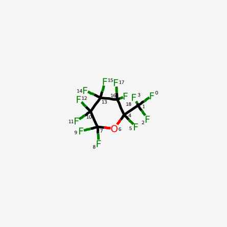 FC(F)(F)C1(F)OC(F)(F)C(F)(F)C(F)(F)C1(F)F